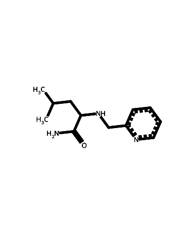 CC(C)CC(NCc1ccccn1)C(N)=O